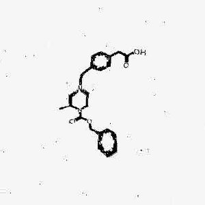 C[C@H]1CN(Cc2ccc(CC(=O)O)cc2)CCN1C(=O)OCc1ccccc1